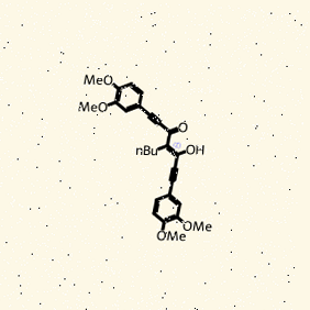 CCCC/C(C(=O)C#Cc1ccc(OC)c(OC)c1)=C(/O)C#Cc1ccc(OC)c(OC)c1